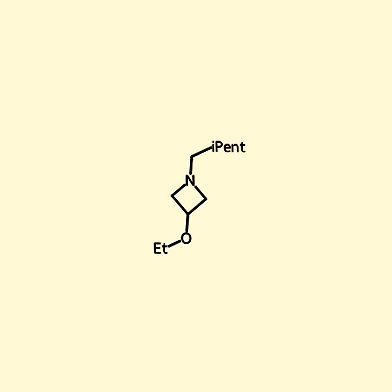 CCCC(C)CN1CC(OCC)C1